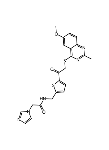 COc1ccc2nc(C)nc(SCC(=O)c3ccc(CNC(=O)Cn4ccnc4)s3)c2c1